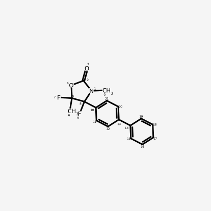 CN1C(=O)OC(C)(F)C1(F)c1ccc(-c2ccccc2)cc1